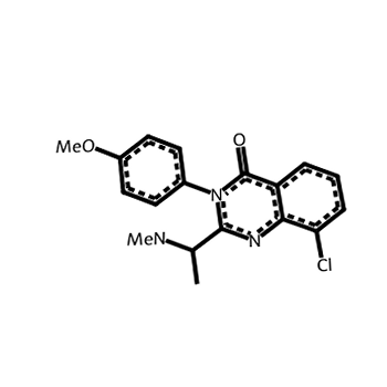 CNC(C)c1nc2c(Cl)cccc2c(=O)n1-c1ccc(OC)cc1